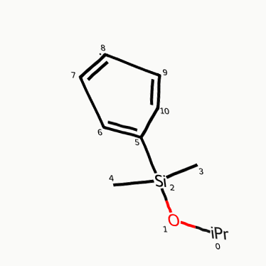 CC(C)O[Si](C)(C)c1cc[c]cc1